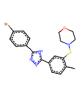 Cc1ccc(-c2nnc(-c3ccc(Br)cc3)[nH]2)cc1SN1CCOCC1